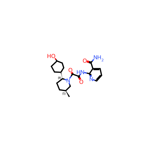 C[C@H]1CC[C@H](C2CCC(O)CC2)N(C(=O)C(=O)Nc2ncccc2C(N)=O)C1